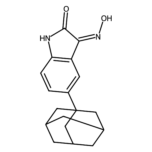 O=C1Nc2ccc(C34CC5CC(CC(C5)C3)C4)cc2/C1=N/O